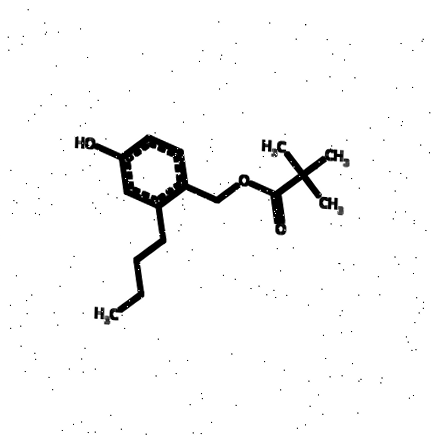 CCCCc1cc(O)ccc1COC(=O)C(C)(C)C